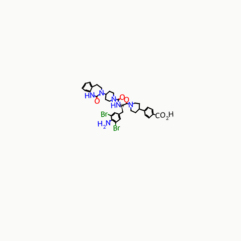 Nc1c(Br)cc(C[C@@H](NC(=O)N2CCC(N3CCc4ccccc4NC3=O)CC2)C(=O)N2CCC(c3ccc(C(=O)O)cc3)CC2)cc1Br